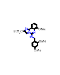 CCOC(=O)c1cn2c(NCc3ccc(OC)cc3OC)nc3c(OC)cccc3c2n1